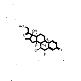 CC(=O)OCC(=O)[C@@]1(O)C(C)C[C@H]2[C@@H]3[C@H](Cl)[C@@H](F)C4=CC(=O)C=C[C@]4(C)[C@H]3CC[C@@]21C